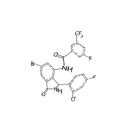 O=C(Nc1cc(Br)cc2c1C(c1ccc(F)cc1Cl)NC2=O)c1cc(F)cc(C(F)(F)F)c1